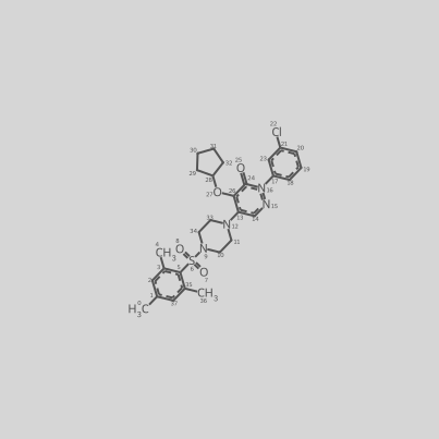 Cc1cc(C)c(S(=O)(=O)N2CCN(c3cnn(-c4cccc(Cl)c4)c(=O)c3OC3CCCC3)CC2)c(C)c1